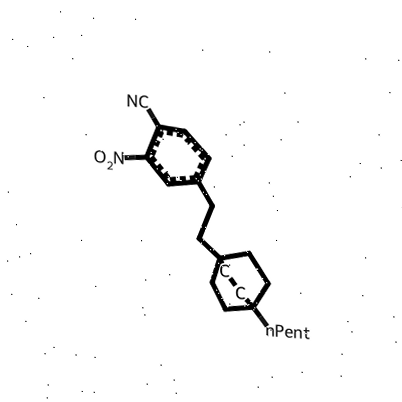 CCCCCC12CCC(CCc3ccc(C#N)c([N+](=O)[O-])c3)(CC1)CC2